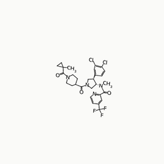 CN(C(=O)c1cc(C(F)(F)F)ccn1)[C@@H]1CN(C(=O)C2CCN(C(=O)C3(C)CC3)CC2)C[C@H]1c1ccc(Cl)c(Cl)c1